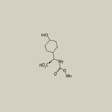 CC(C)(C)OC(=O)N[C@@H](C(=O)O)C1CCC(O)CC1